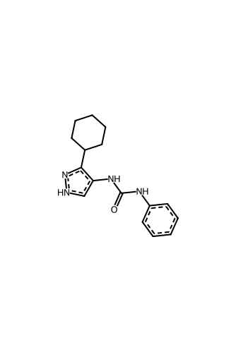 O=C(Nc1ccccc1)Nc1c[nH]nc1C1CCCCC1